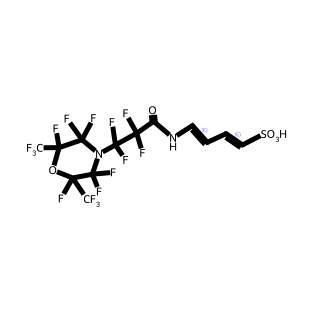 O=C(N/C=C/C=C/S(=O)(=O)O)C(F)(F)C(F)(F)N1C(F)(F)C(F)(C(F)(F)F)OC(F)(C(F)(F)F)C1(F)F